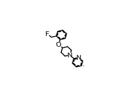 FCc1ccccc1OC1CCN(c2cc[c]cn2)CC1